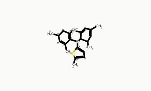 CC1=CC(C)C(B(C2=C(C)CC(C)C=C2C)c2ccc(C)s2)C(C)=C1